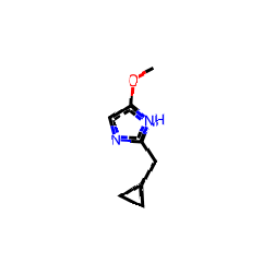 COc1cnc(CC2CC2)[nH]1